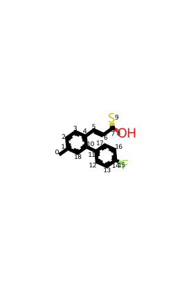 Cc1ccc(/C=C/C(O)=S)c(-c2ccc(F)cc2)c1